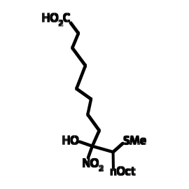 CCCCCCCCC(SC)C(O)(CCCCCCCC(=O)O)[N+](=O)[O-]